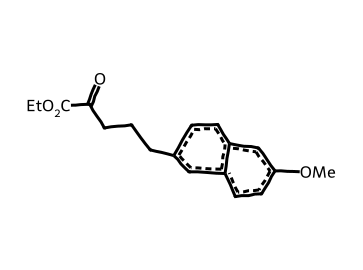 CCOC(=O)C(=O)CCCc1ccc2cc(OC)ccc2c1